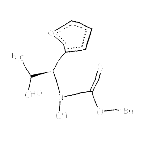 CC(C=O)[C@@H](c1ccco1)N(C)C(=O)OC(C)(C)C